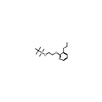 CCCc1cccnc1OCCO[Si](C)(C)C(C)(C)C